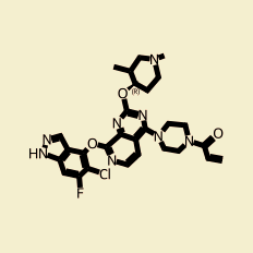 C=CC(=O)N1CCN(c2nc(O[C@@H]3CCN(C)CC3C)nc3c(Oc4c(Cl)c(F)cc5[nH]ncc45)nccc23)CC1